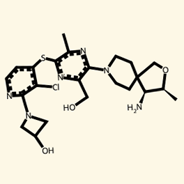 Cc1nc(N2CCC3(CC2)CO[C@@H](C)[C@H]3N)c(CO)nc1Sc1ccnc(N2CC(O)C2)c1Cl